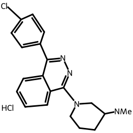 CNC1CCCN(c2nnc(-c3ccc(Cl)cc3)c3ccccc23)C1.Cl